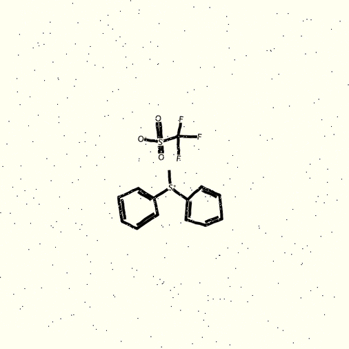 C[S+](c1ccccc1)c1ccccc1.O=S(=O)([O-])C(F)(F)F